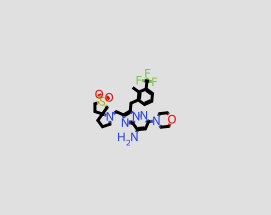 Cc1c(Cc2c(CN3CCCC34CCS(=O)(=O)C4)nc3c(N)cc(N4CCOCC4)nn23)cccc1C(F)(F)F